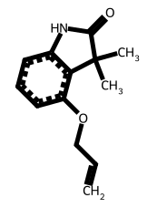 C=CCOc1cccc2c1C(C)(C)C(=O)N2